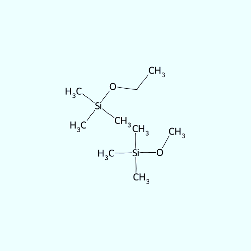 CCO[Si](C)(C)C.CO[Si](C)(C)C